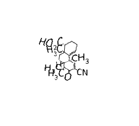 CC1(C)C(=O)C(C#N)=C[C@]2(C)C3=CCC[C@@H](C(=O)O)C3(C)CC[C@@H]12